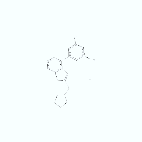 Cc1cc(C)cc(-c2cccc3c2C=C(CC2CCCC2)[CH]3)c1.[Zr]